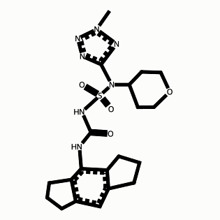 Cn1nnc(N(C2CCOCC2)S(=O)(=O)NC(=O)Nc2c3c(cc4c2CCC4)CCC3)n1